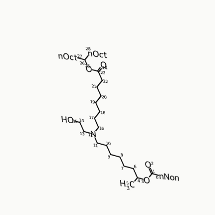 CCCCCCCCCC(=O)OC(C)CCCCCCN(CCO)CCCCCCCC(=O)OC(CCCCCCCC)CCCCCCCC